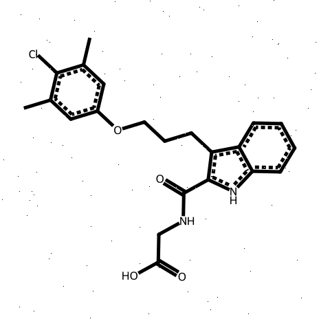 Cc1cc(OCCCc2c(C(=O)NCC(=O)O)[nH]c3ccccc23)cc(C)c1Cl